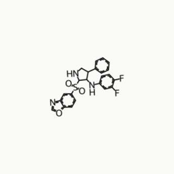 O=S(=O)(c1ccc2ocnc2c1)C1NCC(c2ccccc2)C1Nc1ccc(F)c(F)c1